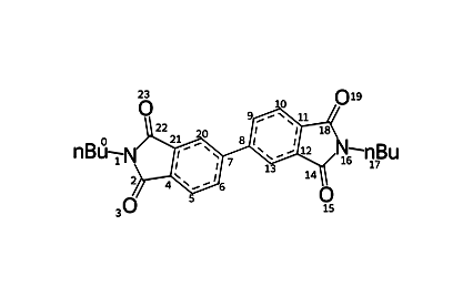 CCCCN1C(=O)c2ccc(-c3ccc4c(c3)C(=O)N(CCCC)C4=O)cc2C1=O